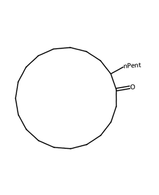 CCCCCC1CCCCCCCCCCCCCCCCCC1=O